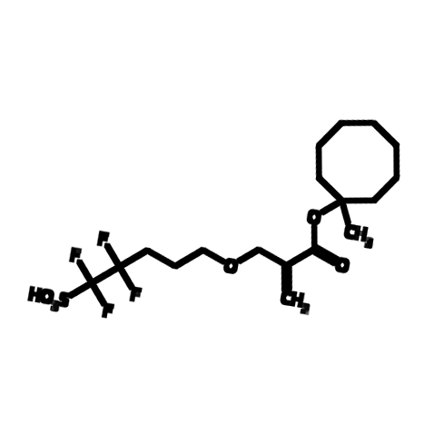 C=C(COCCCC(F)(F)C(F)(F)S(=O)(=O)O)C(=O)OC1(C)CCCCCCC1